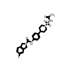 CC(=O)NS(=O)(=O)N1CCC(c2ccc(NC(=O)N3Cc4ccc(F)cc4C3)cc2)CC1